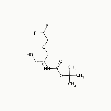 CC(C)(C)OC(=O)N[C@H](CO)COCC(F)F